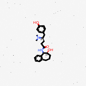 CN(C)[C@H](CCC(=O)NC1c2ccccc2CCC[C@@H]1O)Cc1ccc(O)cc1